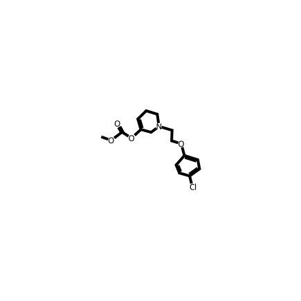 COC(=O)OC1=CCCN(CCOc2ccc(Cl)cc2)C1